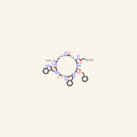 CC(=O)NCC(=O)NC1CCC(=O)NCCCC(C(=O)O)NC(=O)[C@H](Cc2c[nH]c3ccccc23)NC(=O)CNC(=O)C(Cc2ccccc2)NC(=O)[C@H](COCc2ccccc2)NC1=O